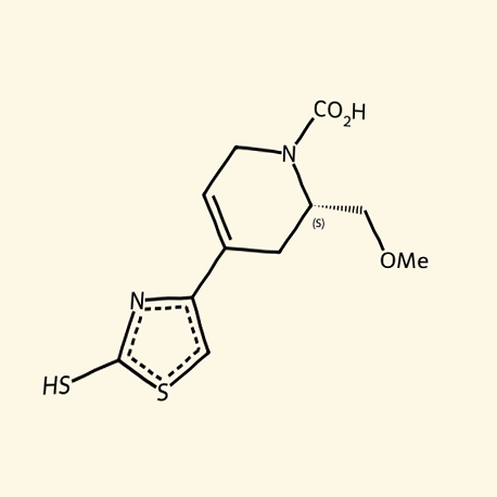 COC[C@@H]1CC(c2csc(S)n2)=CCN1C(=O)O